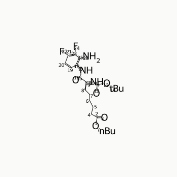 CCCCOC(=O)CCCCC[C@H](NC(=O)OC(C)(C)C)C(=O)Nc1ccc(F)c(F)c1N